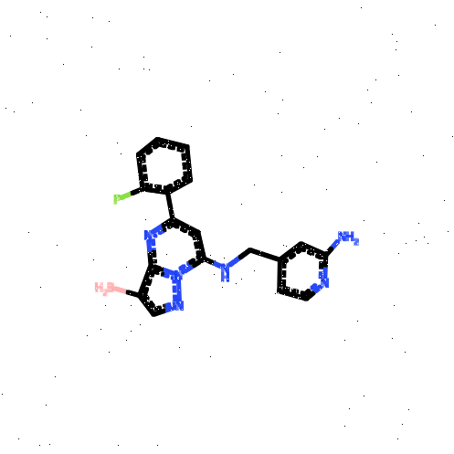 Bc1cnn2c(NCc3ccnc(N)c3)cc(-c3ccccc3F)nc12